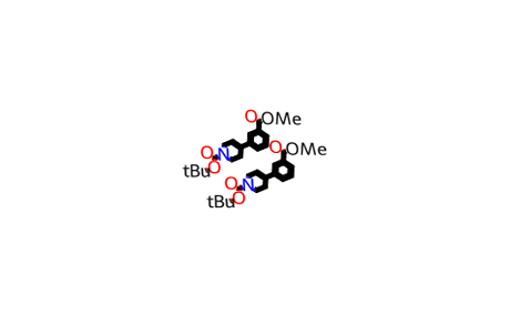 COC(=O)c1cccc(C2=CCN(C(=O)OC(C)(C)C)CC2)c1.COC(=O)c1cccc(C2=CCN(C(=O)OC(C)(C)C)CC2)c1